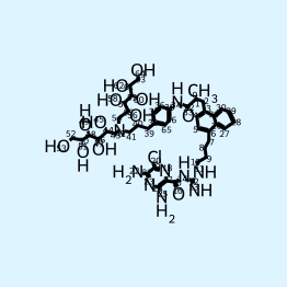 C[C@H](Cc1ccc(CCCCNC(=N)NC(=O)c2nc(Cl)c(N)nc2N)c2ccccc12)C(=O)Nc1ccc(CCCN(C[C@H](O)[C@@H](O)[C@H](O)[C@H](O)CO)C[C@H](O)[C@@H](O)[C@H](O)[C@H](O)CO)cc1